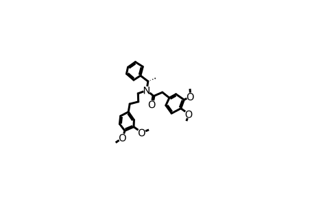 COc1ccc(CCCN(C(=O)Cc2ccc(OC)c(OC)c2)[C@@H](C)c2ccccc2)cc1OC